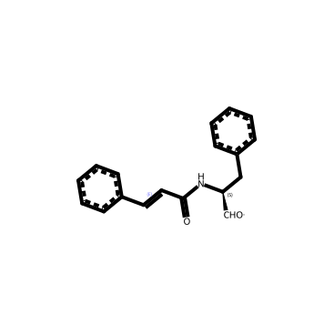 O=[C][C@H](Cc1ccccc1)NC(=O)/C=C/c1ccccc1